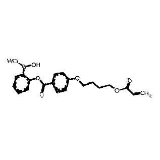 C=CC(=O)OCCCCOc1ccc(C(=O)Oc2ccccc2B(O)O)cc1